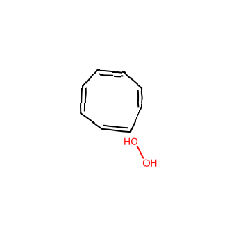 C1=CC=CC=CC=C1.OO